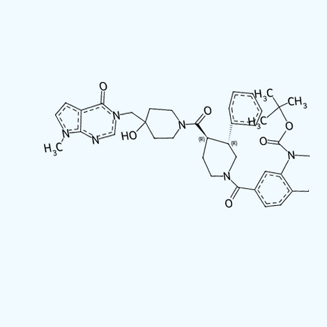 Cn1ccc2c(=O)n(CC3(O)CCN(C(=O)[C@@H]4CCN(C(=O)c5ccc6c(c5)N(C(=O)OC(C)(C)C)CCC6)C[C@H]4c4ccccc4)CC3)cnc21